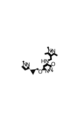 Cc1nn(C)c(C)c1CNc1cc(OC[C@H]2C[C@@H]2c2ccn(C)n2)nn(C)c1=O